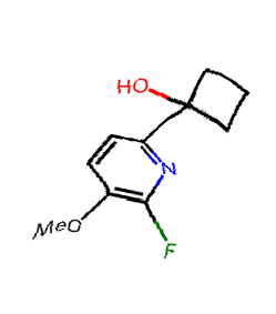 COc1ccc(C2(O)CCC2)nc1F